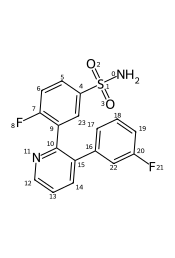 NS(=O)(=O)c1ccc(F)c(-c2ncccc2-c2cccc(F)c2)c1